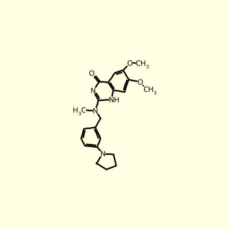 COc1cc2[nH]c(N(C)Cc3cccc(N4CCCC4)c3)nc(=O)c2cc1OC